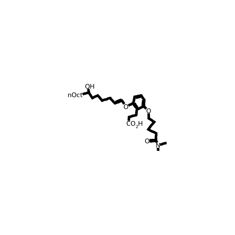 CCCCCCCCC(O)CCCCC=COc1cccc(OCCCCC(=O)N(C)C)c1CCC(=O)O